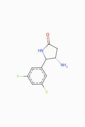 N[C@H]1CC(=O)NC1c1cc(F)cc(F)c1